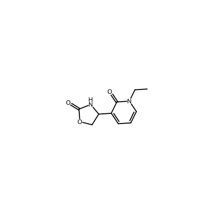 CCn1cccc(C2COC(=O)N2)c1=O